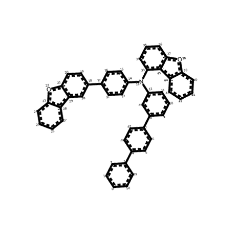 c1ccc(-c2ccc(-c3cccc(N(c4ccc(-c5ccc6oc7ccccc7c6c5)cc4)c4cccc5oc6ccccc6c45)c3)cc2)cc1